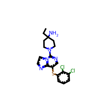 CCC1(N)CCN(c2ncc(Sc3cccc(Cl)c3Cl)c3nccn23)CC1